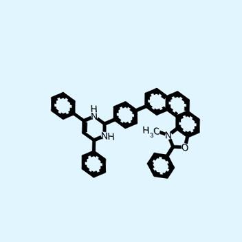 CN1c2c(ccc3ccc4ccc(-c5ccc(C6NC(c7ccccc7)=CC(c7ccccc7)N6)cc5)cc4c23)OC1c1ccccc1